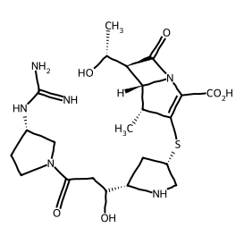 C[C@@H](O)[C@H]1C(=O)N2C(C(=O)O)=C(S[C@@H]3CN[C@H](C(O)CC(=O)N4CC[C@H](NC(=N)N)C4)C3)[C@H](C)[C@H]12